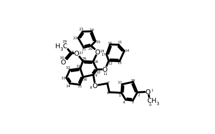 COc1ccc(CCOc2c(Oc3ccccc3)c(Oc3ccccc3)c(OC(C)=O)c3ccccc23)cc1